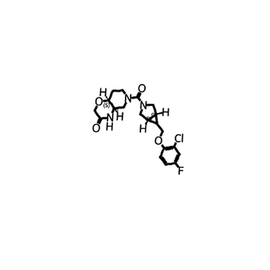 O=C1CO[C@H]2CCN(C(=O)N3C[C@@H]4C(COc5ccc(F)cc5Cl)[C@@H]4C3)C[C@H]2N1